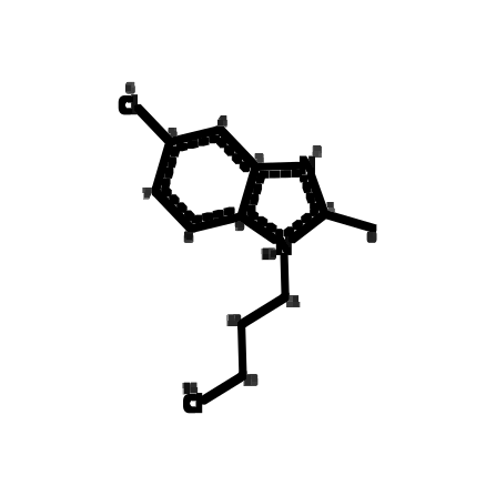 Cc1nc2cc(Cl)ccc2n1CCCCl